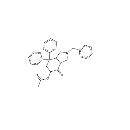 CC(=O)OC1CC(c2ccccc2)(c2ccccc2)C2CN(Cc3ccccc3)CC2C1=O